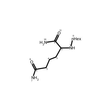 CCCCCCNC(CCCC(N)=O)C(N)=O